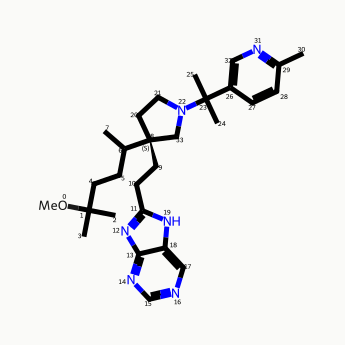 COC(C)(C)CCC(C)[C@]1(CCc2nc3ncncc3[nH]2)CCN(C(C)(C)c2ccc(C)nc2)C1